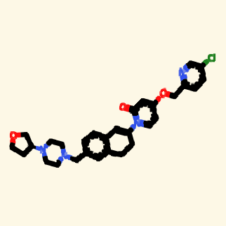 O=c1cc(OCc2ccc(Cl)cn2)ccn1C1=Cc2ccc(CN3CCN([C@H]4CCOC4)CC3)cc2CC1